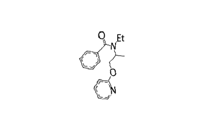 CCN(C(=O)c1ccccc1)C(C)COc1ccccn1